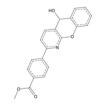 COC(=O)c1ccc(-c2ccc3c(n2)Oc2ccccc2C3O)cc1